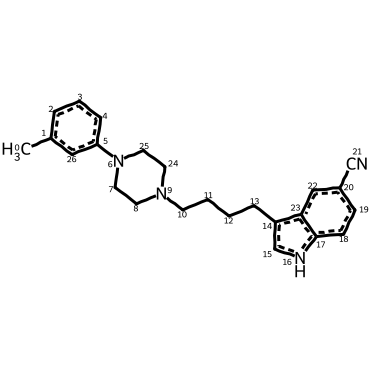 Cc1cccc(N2CCN(CCCCc3c[nH]c4ccc(C#N)cc34)CC2)c1